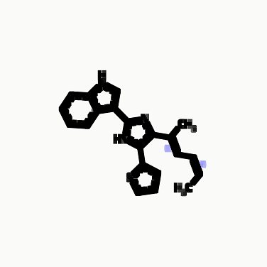 C/C=C\C=C(/C)c1nc(-c2c[nH]c3ccccc23)[nH]c1-c1cccs1